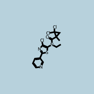 CCN(C(=O)C1(C)CC1(Cl)Cl)c1sc(-c2cccnc2)nc1Cl